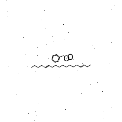 CCC=CCCCCCCCCC=CCCCC.COOCc1ccccc1